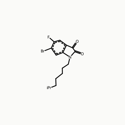 CC(C)CCCCCN1C(=O)C(=O)c2cc(F)c(Br)cc21